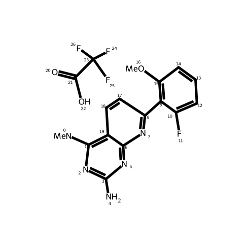 CNc1nc(N)nc2nc(-c3c(F)cccc3OC)ccc12.O=C(O)C(F)(F)F